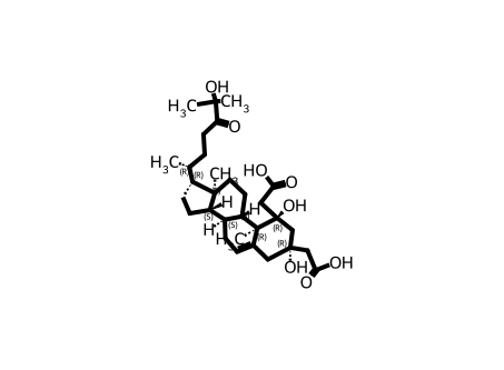 C[C@H](CCC(=O)C(C)(C)O)[C@H]1CC[C@H]2[C@@H]3CC=C4C[C@](O)(CC(=O)O)C[C@@](O)(CC(=O)O)[C@]4(C)[C@H]3CC[C@]12C